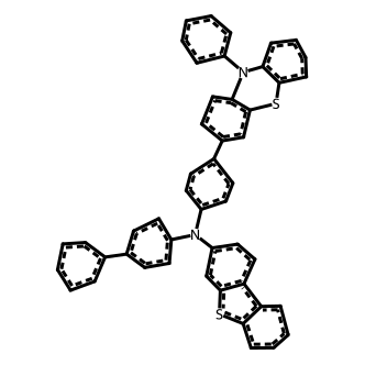 c1ccc(-c2ccc(N(c3ccc(-c4ccc5c(c4)Sc4ccccc4N5c4ccccc4)cc3)c3ccc4c(c3)sc3ccccc34)cc2)cc1